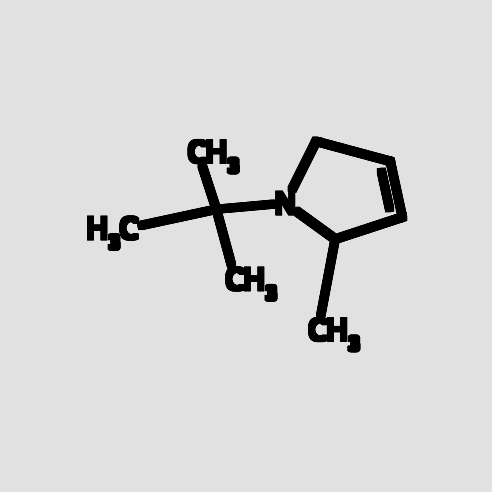 CC1C=CCN1C(C)(C)C